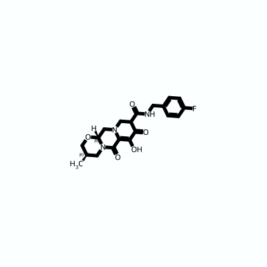 C[C@H]1CO[C@@H]2CN3CC(C(=O)NCc4ccc(F)cc4)C(=O)C(O)=C3C(=O)N2C1